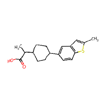 Cc1cc2cc(C3CCC(C(C)C(=O)O)CC3)ccc2s1